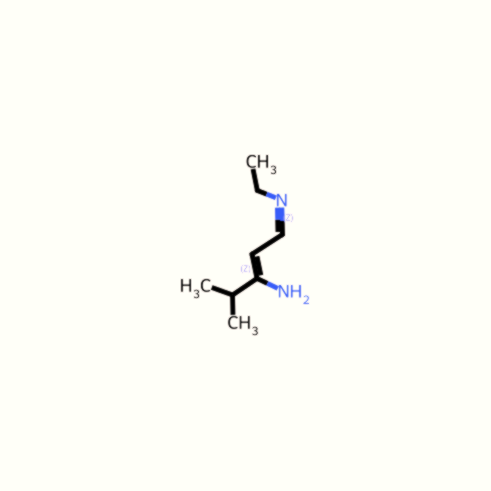 CC/N=C\C=C(/N)C(C)C